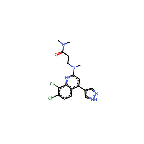 CN(C)C(=O)CCN(C)c1cc(-c2cn[nH]c2)c2ccc(Cl)c(Cl)c2n1